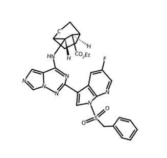 CCOC(=O)[C@@H]1C2CCC(CC2)[C@H]1Nc1nc(-c2cn(S(=O)(=O)Cc3ccccc3)c3ncc(F)cc23)nn2cncc12